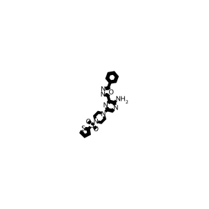 Nc1ncc(N2CCN(S(=O)(=O)c3cccs3)CC2)nc1-c1nnc(-c2ccccc2)o1